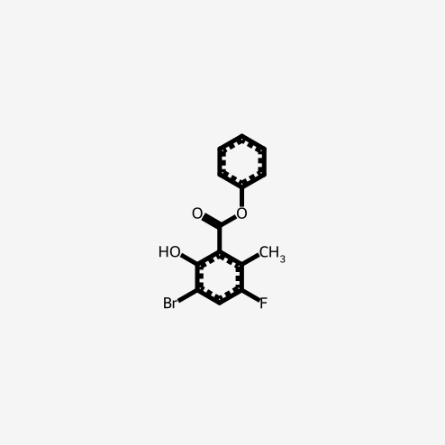 Cc1c(F)cc(Br)c(O)c1C(=O)Oc1ccccc1